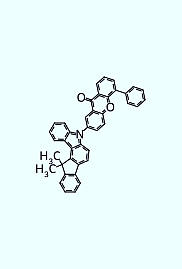 CC1(C)c2ccccc2-c2ccc3c(c21)c1ccccc1n3-c1ccc2oc3c(-c4ccccc4)cccc3c(=O)c2c1